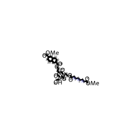 COC(=O)/C=C/C=C/C=C/C(=O)OCCn1c(=O)n(CCO)c(=O)n(CCOC(=O)c2ccc3cc(C(=O)OC)ccc3c2)c1=O